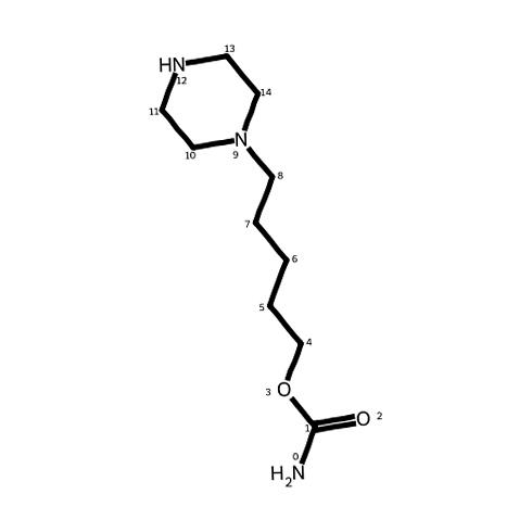 NC(=O)OCCCCCN1CCNCC1